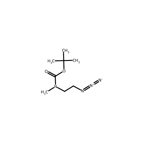 CN(CCN=[N+]=[N-])C(=O)OC(C)(C)C